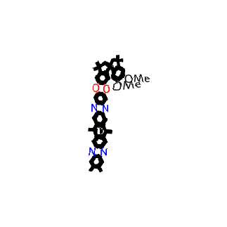 COc1cc2c(cc1OC)C1(CC2(C)C)CC(C)(C)c2cc3c(cc21)Oc1cc2nc4cc5c(cc4nc2cc1O3)C1(C)CCC5(C)c2cc3nc4cc(C)c(C)cc4nc3cc21